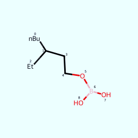 CCCCC(CC)CCOB(O)O